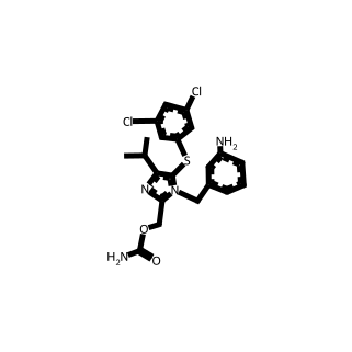 CC(C)c1nc(COC(N)=O)n(Cc2cccc(N)c2)c1Sc1cc(Cl)cc(Cl)c1